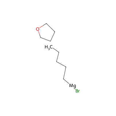 C1CCOC1.CCCC[CH2][Mg][Br]